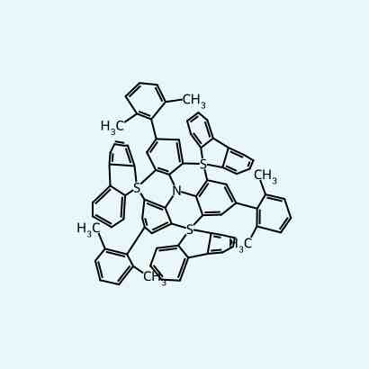 Cc1cccc(C)c1-c1cc2c3c(c1)S1(c4ccccc4-c4ccccc41)c1cc(-c4c(C)cccc4C)cc4c1N3c1c(cc(-c3c(C)cccc3C)cc1S41c3ccccc3-c3ccccc31)S21c2ccccc2-c2ccccc21